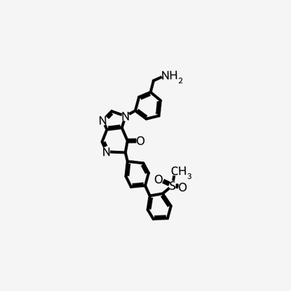 CS(=O)(=O)c1ccccc1-c1ccc(C2N=Cc3ncn(-c4cccc(CN)c4)c3C2=O)cc1